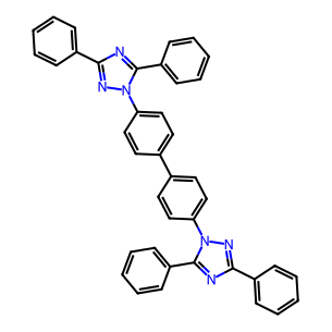 c1ccc(-c2nc(-c3ccccc3)n(-c3ccc(-c4ccc(-n5nc(-c6ccccc6)nc5-c5ccccc5)cc4)cc3)n2)cc1